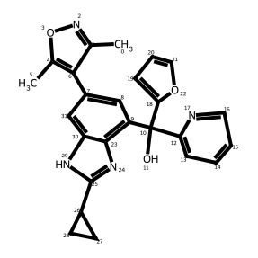 Cc1noc(C)c1-c1cc(C(O)(c2ccccn2)c2ccco2)c2nc(C3CC3)[nH]c2c1